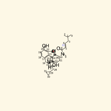 CC(C)C/C=C/C(=O)N(C)[C@@H]1CC[C@@]2(O)[C@H]3Cc4ccc(O)c5c4[C@@]2(CCN3CC2CC2)[C@H]1O5